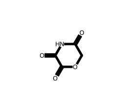 O=C1COC(=O)C(=O)N1